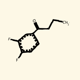 [CH2]CCC(=O)c1ccc(F)c(F)c1